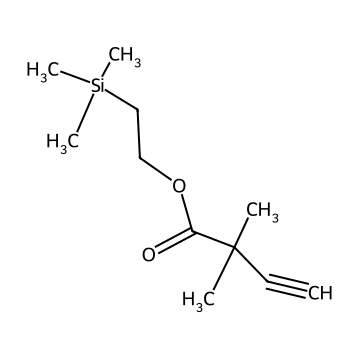 C#CC(C)(C)C(=O)OCC[Si](C)(C)C